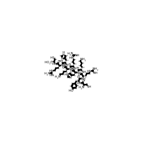 N=C(N)NCCC[C@H](NC(=O)[C@H](Cc1c[nH]cn1)NC(=O)[C@H](CCCCN)NC(=O)[C@H](CCCNC(=N)N)NC(=O)[C@H](Cc1c[nH]cn1)NC(=O)[C@H](CCCCN)NC(=O)[C@H](CCCNC(=N)N)NC(=O)[C@H](Cc1ccc(O)cc1)NC(=O)[C@@H](N)CS)C(=O)N[C@@H](CS)C(=O)O